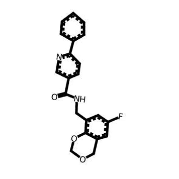 O=C(NCc1cc(F)cc2c1OCOC2)c1ccc(-c2ccccc2)nc1